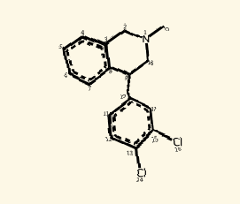 CN1Cc2ccccc2C(c2ccc(Cl)c(Cl)c2)C1